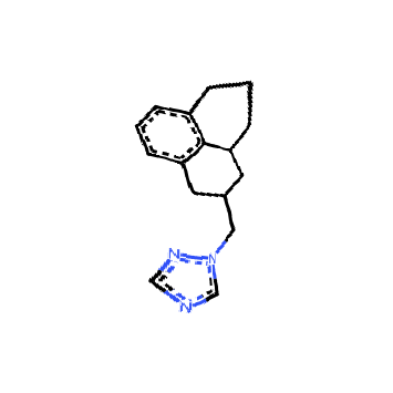 c1cc2c3c(c1)CC(Cn1cncn1)CC3CCC2